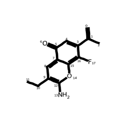 C=C(C)c1cc(=O)c2cc(CC)c(N)oc-2c1F